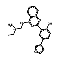 CC[C@@H](N)CNc1nc(-c2cc(-c3ccoc3)ccc2O)nc2ccccc12